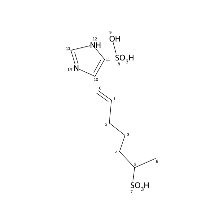 C=CCCCC(C)S(=O)(=O)O.O=S(=O)(O)O.c1c[nH]cn1